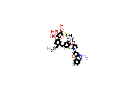 CCc1ccc([C@@H]2O[C@H](SC)[C@@H](O)[C@H](O)[C@H]2O)cc1Cc1ccc(O[C@@H]2CCN(C3CO[C@H](c4cc(F)ccc4F)[C@@H](N)C3)C2)c(C)c1